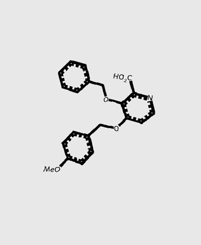 COc1ccc(COc2ccnc(C(=O)O)c2OCc2ccccc2)cc1